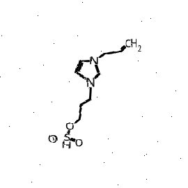 C=CCN1C=CN(CCCO[SH](=O)=O)C1